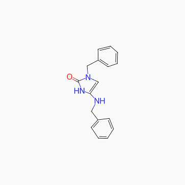 O=c1[nH]c(NCc2ccccc2)cn1Cc1ccccc1